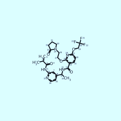 CC(C)C(=O)Nc1cc(C(C)NC(=O)c2ccc(OCC(F)(F)F)nc2OCCN2CCCC2=O)ccn1